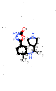 O=c1[nH]nc(-c2ccc(C(F)(F)F)c(N[C@@H](C3CCNCC3)C(F)(F)F)c2)o1